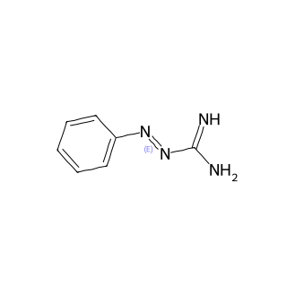 N=C(N)/N=N/c1ccccc1